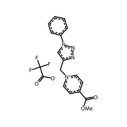 COC(=O)c1cc[n+](Cc2cn(-c3ccccc3)nn2)cc1.O=C([O-])C(F)(F)F